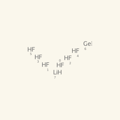 F.F.F.F.F.F.[Ge].[LiH]